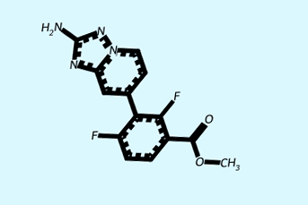 COC(=O)c1ccc(F)c(-c2ccn3nc(N)nc3c2)c1F